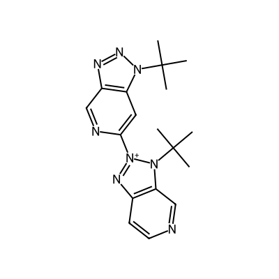 CC(C)(C)n1nnc2cnc(-[n+]3nc4ccncc4n3C(C)(C)C)cc21